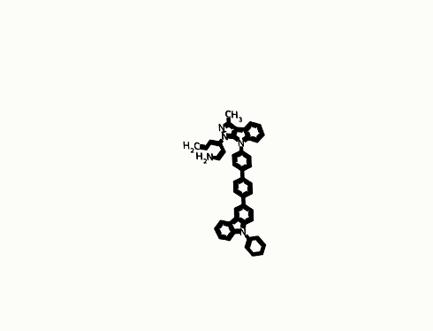 C=C/C=C(\C=C/N)n1nc(C)c2c3ccccc3n(-c3ccc(-c4ccc(-c5ccc6c(c5)c5ccccc5n6C5=CCCC=C5)cc4)cc3)c21